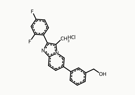 Cc1c(-c2ccc(F)cc2F)nc2ccc(-c3cccc(CO)c3)cn12.Cl